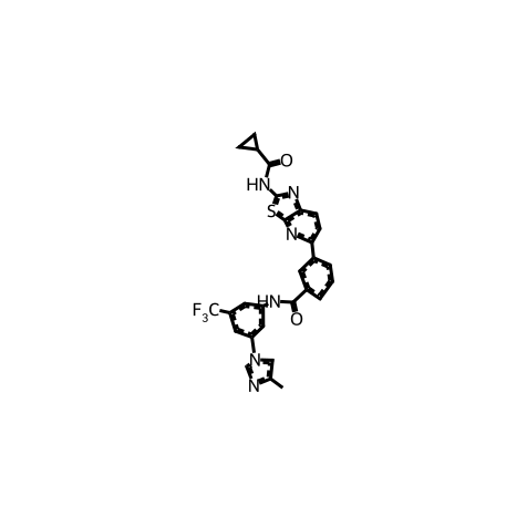 Cc1cn(-c2cc(NC(=O)c3cccc(-c4ccc5nc(NC(=O)C6CC6)sc5n4)c3)cc(C(F)(F)F)c2)cn1